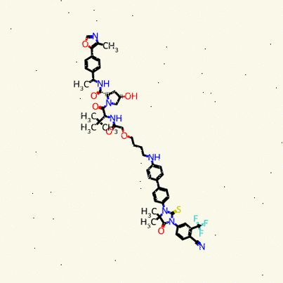 Cc1ncoc1-c1ccc(C(C)NC(=O)[C@@H]2C[C@@H](O)CN2C(=O)C(NC(=O)COCCCCNc2ccc(-c3ccc(N4C(=S)N(c5ccc(C#N)c(C(F)(F)F)c5)C(=O)C4(C)C)cc3)cc2)C(C)(C)C)cc1